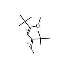 C/N=C(/C=C(\OC)C(C)(C)C)C(C)(C)C